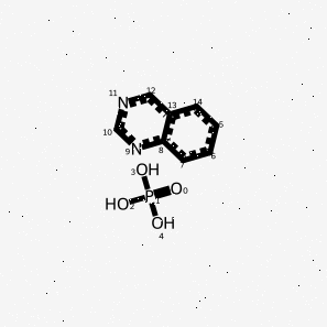 O=P(O)(O)O.c1ccc2ncncc2c1